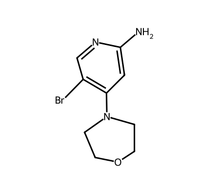 Nc1cc(N2CCOCC2)c(Br)cn1